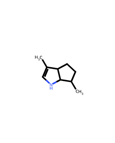 CC1=CNC2C(C)CCC12